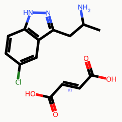 CC(N)Cc1n[nH]c2ccc(Cl)cc12.O=C(O)/C=C/C(=O)O